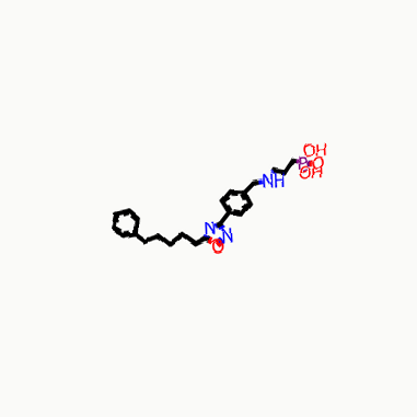 O=P(O)(O)CCCNCc1ccc(-c2noc(CCCCCc3ccccc3)n2)cc1